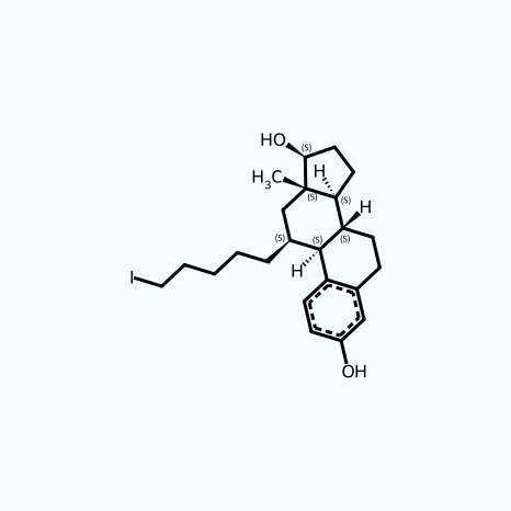 C[C@]12C[C@H](CCCCCI)[C@@H]3c4ccc(O)cc4CC[C@H]3[C@@H]1CC[C@@H]2O